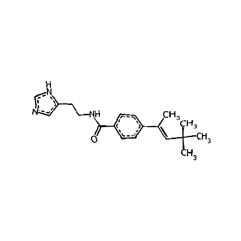 C/C(=C\C(C)(C)C)c1ccc(C(=O)NCCc2cnc[nH]2)cc1